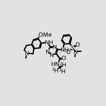 [2H]C([2H])([2H])NC(=O)c1nnc(Nc2cc3c(cc2OC)CCN(C)C3)nc1Nc1ccccc1S(=O)(=O)N(C)C